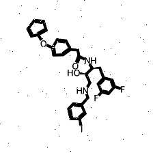 O=C(Cc1ccc(Oc2ccccc2)cc1)N[C@@H](Cc1cc(F)cc(F)c1)[C@H](O)CNCc1cccc(I)c1